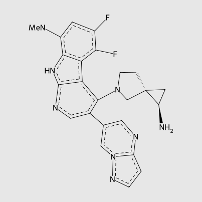 CNc1cc(F)c(F)c2c1[nH]c1ncc(-c3cnc4ccnn4c3)c(N3CC[C@@]4(C[C@H]4N)C3)c12